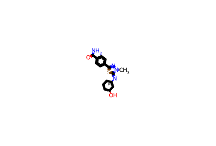 Cn1nc(-c2ccc(C(N)=O)cc2)sc1=N[C@@H]1CCC[C@H](O)C1